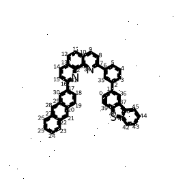 c1c(-c2cccc(-c3ccc4ccc5ccc(-c6ccc7cc8ccccc8cc7c6)nc5c4n3)c2)cc2c(c#1)sc1ccccc12